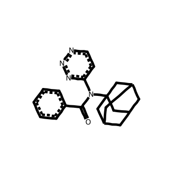 O=C(c1ccccc1)N(c1ccnnn1)C12CC3CC(CC(C3)C1)C2